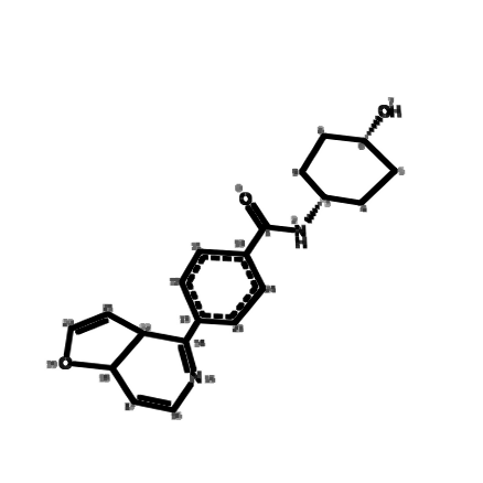 O=C(N[C@H]1CC[C@@H](O)CC1)c1ccc(C2=NC=CC3OC=CC23)cc1